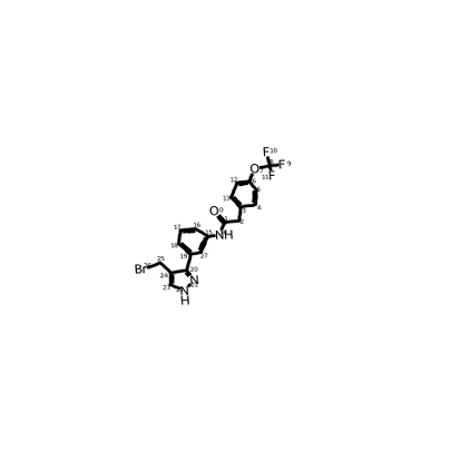 O=C(Cc1ccc(OC(F)(F)F)cc1)Nc1cccc(-c2n[nH]cc2CBr)c1